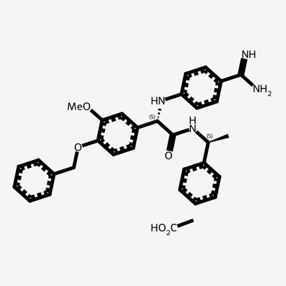 CC(=O)O.COc1cc([C@H](Nc2ccc(C(=N)N)cc2)C(=O)N[C@@H](C)c2ccccc2)ccc1OCc1ccccc1